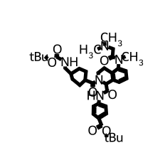 CN(C)CC(=O)N(C)c1cccc2c1CCN(C(=O)C1CCC(CNC(=O)OC(C)(C)C)CC1)C2C(=O)Nc1ccc(C(=O)OC(C)(C)C)cc1